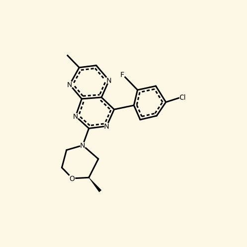 Cc1cnc2c(-c3ccc(Cl)cc3F)nc(N3CCO[C@H](C)C3)nc2n1